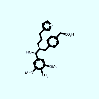 COc1cc([C@@H](O)[C@@H](CCCc2ccsc2)Cc2ccc(CC(=O)O)cc2)cc(OC)c1C